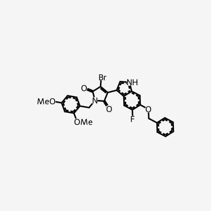 COc1ccc(CN2C(=O)C(Br)=C(c3c[nH]c4cc(OCc5ccccc5)c(F)cc34)C2=O)c(OC)c1